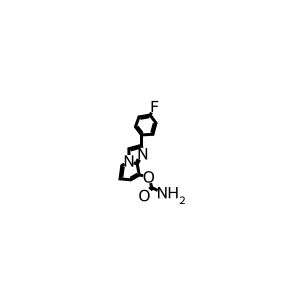 NC(=O)Oc1cccn2cc(-c3ccc(F)cc3)nc12